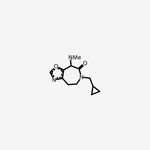 CNC1C(=O)N(CC2CC2)CCc2ncoc21